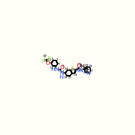 O=C(Nc1cccc(OC(F)(F)F)c1)Nc1ccc2cc(C(=O)N[C@H]3CN4CCC3CC4)sc2c1